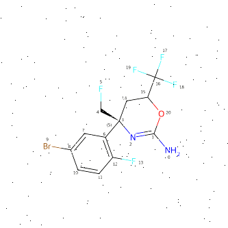 NC1=N[C@](CF)(c2cc(Br)ccc2F)CC(C(F)(F)F)O1